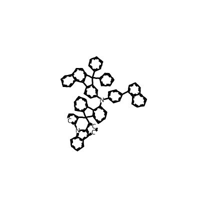 c1ccc(C2(c3ccccc3)c3cc(N(c4ccc(-c5cccc6ccccc56)cc4)c4cccc5c4-c4ccccc4C54c5ccccc5-n5c6ccccc6c6cccc4c65)ccc3-c3c2ccc2ccccc32)cc1